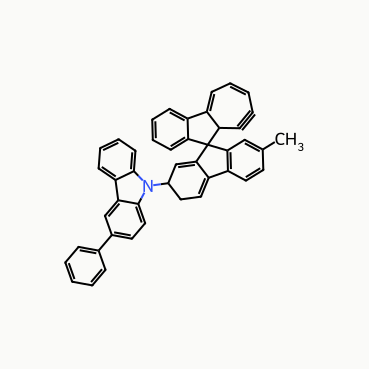 Cc1ccc2c(c1)C1(C3=CC(n4c5ccccc5c5cc(-c6ccccc6)ccc54)CC=C32)c2ccccc2C2=CC=CC#CC21